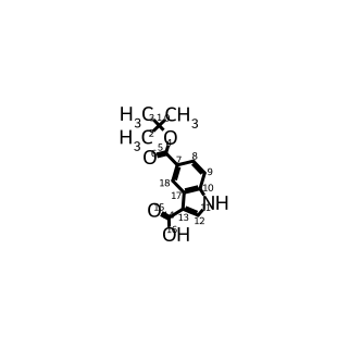 CC(C)(C)OC(=O)c1ccc2[nH]cc(C(=O)O)c2c1